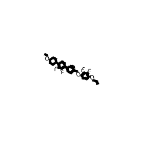 C=CCOc1ccc(OCc2ccc(-c3ccc(C4CCC(OCC)CC4)c(F)c3F)cc2)c(F)c1F